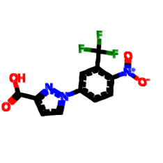 O=C(O)c1ccn(-c2ccc([N+](=O)[O-])c(C(F)(F)F)c2)n1